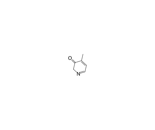 CC1=CC=NCC1=O